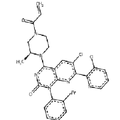 C=CC(=O)N1CCN(c2nc(=O)n(-c3ccccc3C(C)C)c3nc(-c4ncccc4Cl)c(Cl)cc23)[C@@H](C)C1